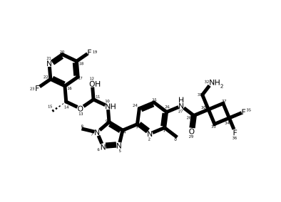 Cc1nc(-c2nnn(C)c2NC(O)O[C@H](C)c2cc(F)cnc2F)ccc1NC(=O)C1(CN)CC(F)(F)C1